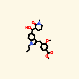 CCCn1cc(Cc2ccc(C(=O)OC)cc2OC)c2cc(C(O)C3CCCN(C)C3=O)ccc21